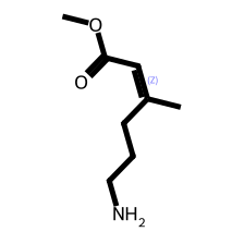 COC(=O)/C=C(/C)CCCN